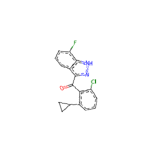 O=C(c1c(Cl)cccc1C1CC1)c1n[nH]c2c(F)cccc12